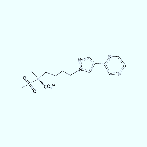 C[C@@](CCCCn1cc(-c2cnccn2)cn1)(C(=O)O)S(C)(=O)=O